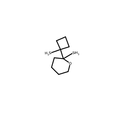 [SiH3]C1(C2([SiH3])CCCCO2)CCC1